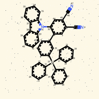 N#Cc1cc(-c2cccc([Si](c3ccccc3)(c3ccccc3)c3ccccc3)c2)c(-n2c3ccccc3c3ccccc32)cc1C#N